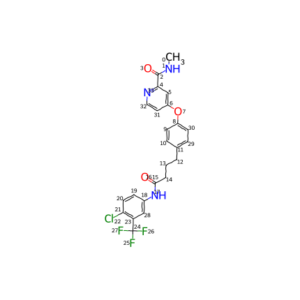 CNC(=O)c1cc(Oc2ccc(CCCC(=O)Nc3ccc(Cl)c(C(F)(F)F)c3)cc2)ccn1